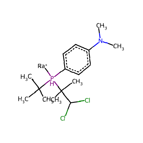 CN(C)c1ccc([PH]([Ra+])(C(C)(C)C)C(C)(C)C(Cl)Cl)cc1